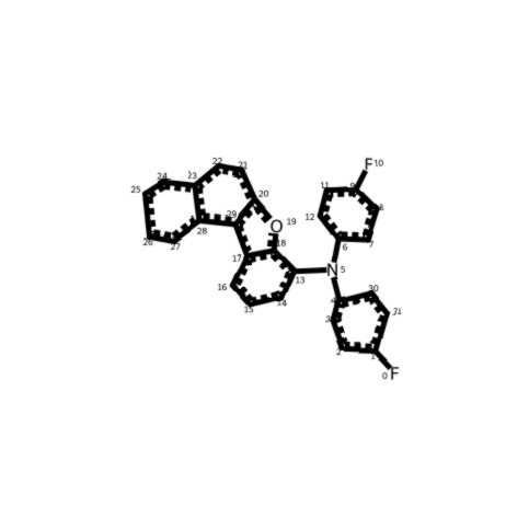 Fc1ccc(N(c2ccc(F)cc2)c2cccc3c2oc2ccc4ccccc4c23)cc1